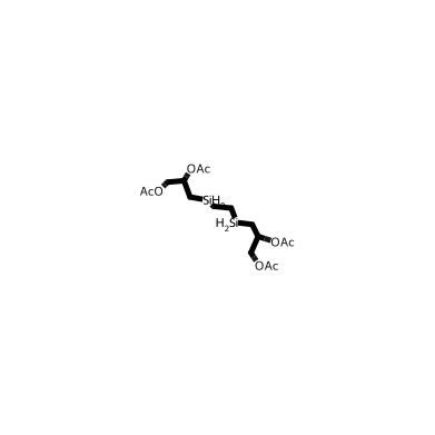 CC(=O)OCC(C[SiH2]CC[SiH2]CC(COC(C)=O)OC(C)=O)OC(C)=O